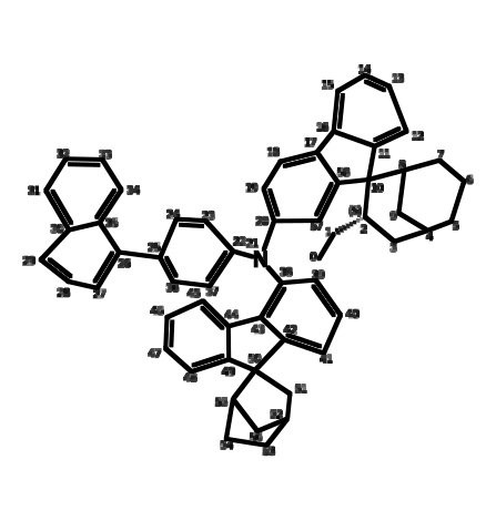 CC[C@H]1CC2CCCC(C2)C12c1ccccc1-c1ccc(N(c3ccc(-c4cccc5ccccc45)cc3)c3cccc4c3-c3ccccc3C43CC4CCC3C4)cc12